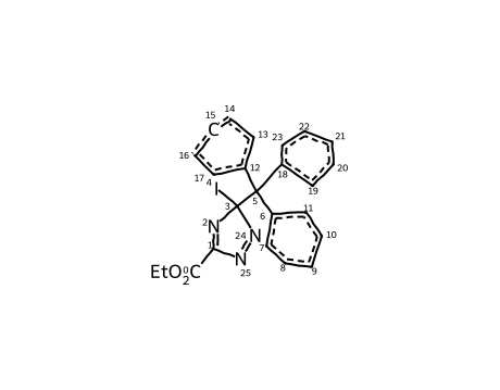 CCOC(=O)C1=NC(I)(C(c2ccccc2)(c2ccccc2)c2ccccc2)N=N1